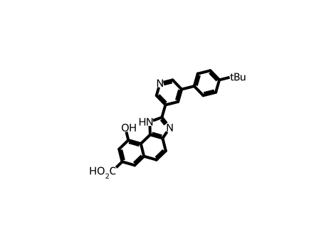 CC(C)(C)c1ccc(-c2cncc(-c3nc4ccc5cc(C(=O)O)cc(O)c5c4[nH]3)c2)cc1